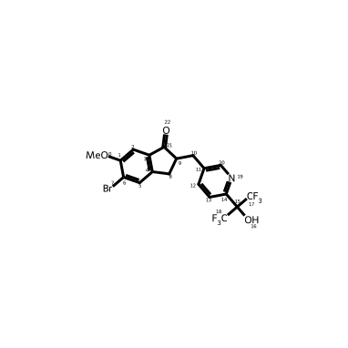 COc1cc2c(cc1Br)CC(Cc1ccc(C(O)(C(F)(F)F)C(F)(F)F)nc1)C2=O